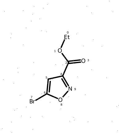 CCOC(=O)c1cc(Br)on1